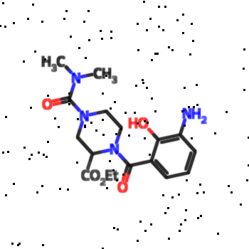 CCOC(=O)C1CN(C(=O)N(C)C)CCN1C(=O)c1cccc(N)c1O